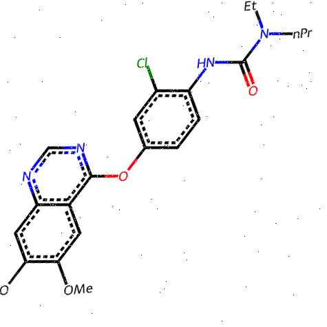 CCCN(CC)C(=O)Nc1ccc(Oc2ncnc3cc(OC)c(OC)cc23)cc1Cl